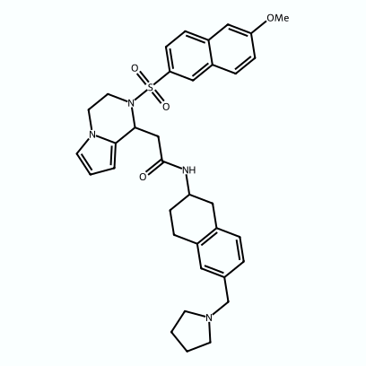 COc1ccc2cc(S(=O)(=O)N3CCn4cccc4C3CC(=O)NC3CCc4cc(CN5CCCC5)ccc4C3)ccc2c1